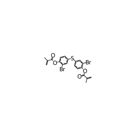 C=C(C)C(=O)Oc1ccc(Sc2ccc(OC(=O)C(=C)C)c(Br)c2)cc1Br